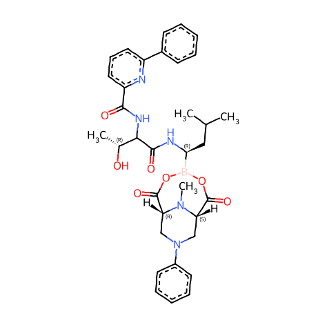 CC(C)C[C@H](NC(=O)C(NC(=O)c1cccc(-c2ccccc2)n1)[C@@H](C)O)B1OC(=O)[C@H]2CN(c3ccccc3)C[C@@H](C(=O)O1)N2C